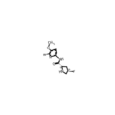 COc1ccc(NC(=O)[C@@H]2C[C@@H](F)CN2)nc1Br